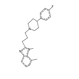 Cc1cccc2nc(CCCN3CCC(c4ccc(F)cc4)CC3)n(C)c12